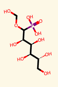 O=P(O)(O)C(OCO)[C@H](O)[C@@H](O)[C@H](O)[C@H](O)CO